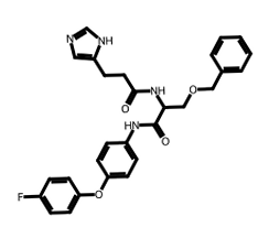 O=C(CCc1cnc[nH]1)NC(COCc1ccccc1)C(=O)Nc1ccc(Oc2ccc(F)cc2)cc1